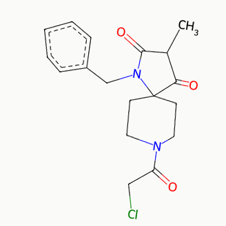 CC1C(=O)N(Cc2ccccc2)C2(CCN(C(=O)CCl)CC2)C1=O